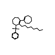 CCCCCCCCC1=C(C2=CCCCCC2)CCCCC1C(C)(C)c1ccccc1